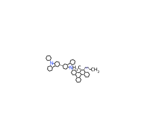 C=C/C=C\c1c(C)c2c3cc(-n4c5ccccc5c5cc(-c6ccc7c(c6)c6ccccc6n7-c6ccccc6)ccc54)ccc3c3ccccc3c2c2ccccc12